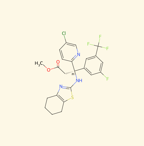 COC(=O)C[C@@](Nc1nc2c(s1)CCCC2)(c1cc(F)cc(C(F)(F)F)c1)c1ccc(Cl)cn1